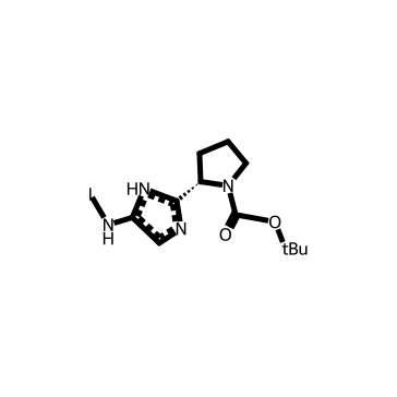 CC(C)(C)OC(=O)N1CCC[C@H]1c1ncc(NI)[nH]1